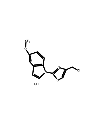 FC(F)(F)Oc1ccc2c(ccn2-c2nc(CCl)co2)c1.O